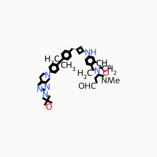 C=CN(C(=C)c1ccc(N[C@H]2C[C@@H](Cc3ccc(C(C)(C)c4ccc(N5CCc6cnc(N7CC8(COC8)C7)nc6C5)cc4)cc3)C2)cc1C)C(CCC=O)C(=O)NC